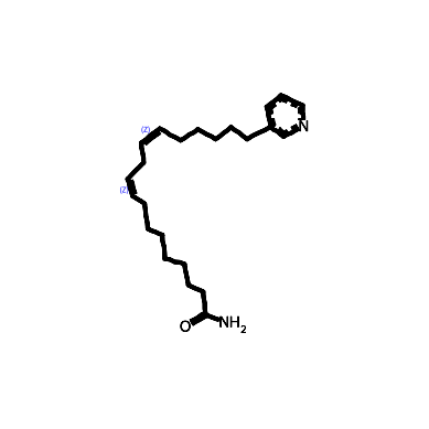 NC(=O)CCCCCCC/C=C\C/C=C\CCCCCc1cccnc1